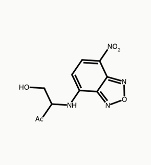 CC(=O)C(CO)Nc1ccc([N+](=O)[O-])c2nonc12